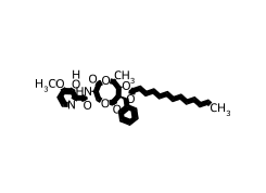 CCCCCCCCCCCCC(=O)O[C@H]1[C@H](C)OC(=O)[C@@H](NC(=O)c2nccc(OC)c2O)COC(=O)[C@@H]1Cc1ccccc1